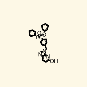 O=P(Oc1ccccc1)(Oc1ccccc1)c1ccc(Cn2cnc3ccc(O)nc32)cc1